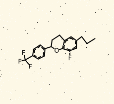 CCCc1cc(F)c2c(c1)CCC(c1ccc(C(F)(F)F)cc1)O2